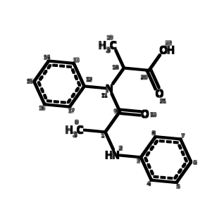 CC(Nc1ccccc1)C(=O)N(c1ccccc1)C(C)C(=O)O